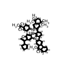 CC(C)(C)c1ccc(Nc2cc3c(cc2-c2ccc4c5cc6c(cc5n5c4c2Bc2cc4occ(-c7ccccc7)c4cc2-5)C(C)(C)c2ccccc2-6)C(C)(C)CCC3(C)C)cc1